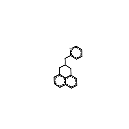 c1ccc(CC2Cc3cccc4cccc(c34)C2)nc1